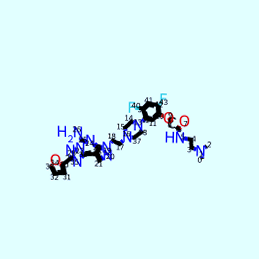 CN(C)CCNC(=O)COc1cc(N2CCN(CCn3ncc4c3nc(N)n3nc(-c5ccco5)nc43)CC2)c(F)cc1F